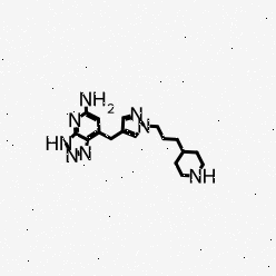 Nc1cc(Cc2cnn(CCCC3CCNCC3)c2)c2nn[nH]c2n1